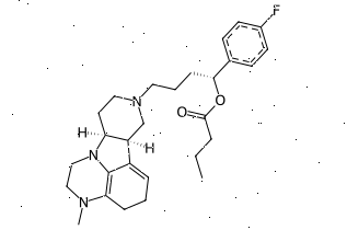 CCCC(=O)O[C@H](CCCN1CC[C@H]2[C@@H](C1)C1=CCCC3=C1N2CCN3C)c1ccc(F)cc1